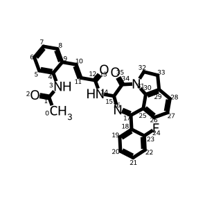 CC(=O)Nc1ccccc1/C=C/C(=O)NC1N=C(c2ccccc2F)c2cccc3c2N(CC3)C1=O